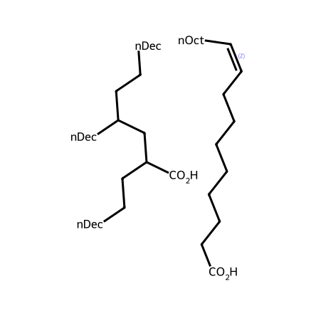 CCCCCCCC/C=C\CCCCCCCC(=O)O.CCCCCCCCCCCCC(CCCCCCCCCC)CC(CCCCCCCCCCCC)C(=O)O